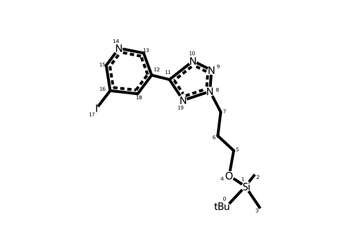 CC(C)(C)[Si](C)(C)OCCCn1nnc(-c2cncc(I)c2)n1